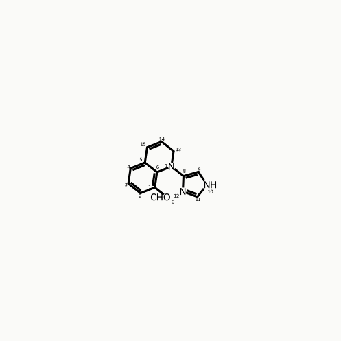 O=Cc1cccc2c1N(c1c[nH]cn1)CC=C2